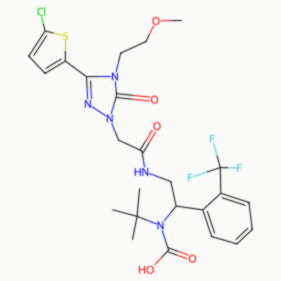 COCCn1c(-c2ccc(Cl)s2)nn(CC(=O)NCC(c2ccccc2C(F)(F)F)N(C(=O)O)C(C)(C)C)c1=O